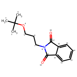 CC(C)(C)OCCCN1C(=O)c2ccccc2C1=O